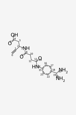 C#CC(CC(=O)O)NC(=O)CCC(=O)Nc1ccc(C(N)N)cc1